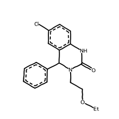 CCOCCN1C(=O)Nc2ccc(Cl)cc2C1c1ccccc1